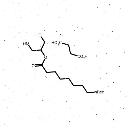 CCCCCCCCCCCCCCCCCC(=O)OC(CO)CO.O=C(O)CCC(=O)O